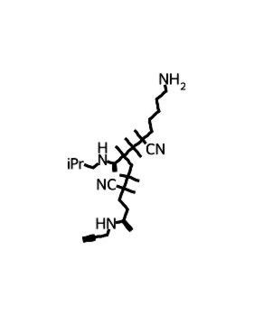 C#CCNC(=C)CCC(C)(C#N)C(C)(C)CC(C)(C(=C)NCC(C)C)C(C)(C)C(C)(C#N)CCCCCN